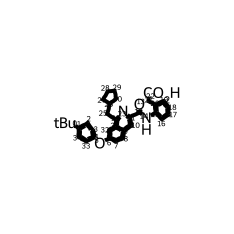 CC(C)(C)c1ccc(Oc2ccc3cc(C(=O)Nc4ccccc4CC(=O)O)nc(CC4CCCC4)c3c2)cc1